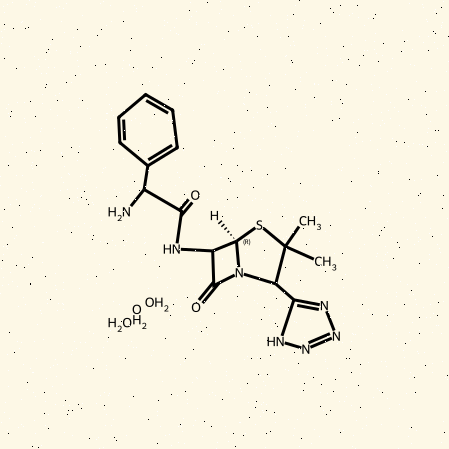 CC1(C)S[C@@H]2C(NC(=O)C(N)c3ccccc3)C(=O)N2C1c1nnn[nH]1.O.O.O